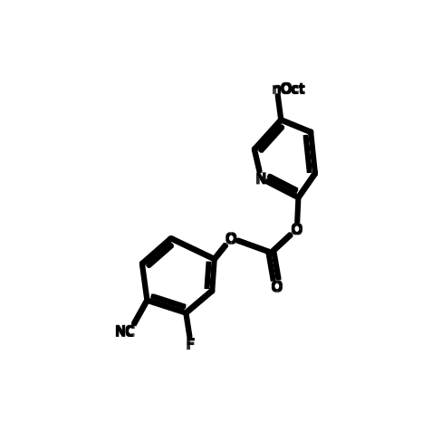 CCCCCCCCc1ccc(OC(=O)Oc2ccc(C#N)c(F)c2)nc1